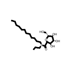 CCCCCCCCCCCCN(CCC)C(=O)C1O[C@H](CO)[C@@H](O)[C@H](O)[C@H]1O